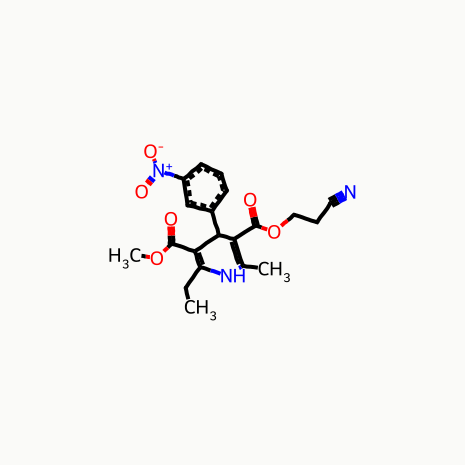 CCC1=C(C(=O)OC)C(c2cccc([N+](=O)[O-])c2)C(C(=O)OCCC#N)=C(C)N1